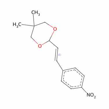 CC1(C)COC(/C=C/c2ccc([N+](=O)[O-])cc2)OC1